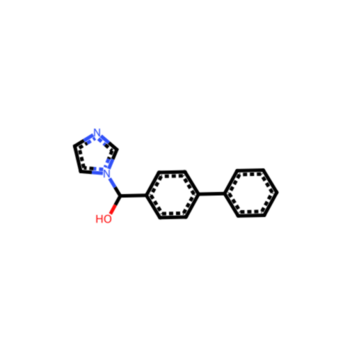 OC(c1ccc(-c2ccccc2)cc1)n1ccnc1